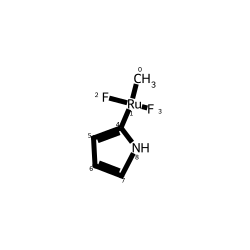 [CH3][Ru]([F])([F])[c]1ccc[nH]1